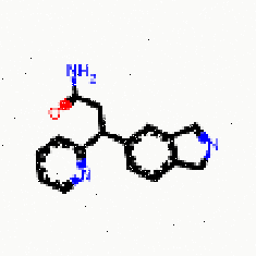 NC(=O)CC(c1ccc2c(c1)C=NC2)c1ccccn1